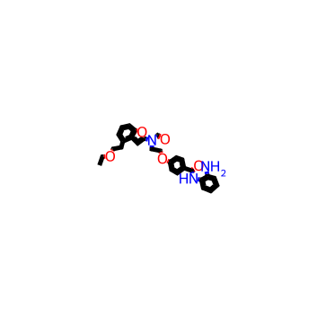 CCOCCc1cccc2oc(N(C=O)CCOc3ccc(C(=O)Nc4ccccc4N)cc3)cc12